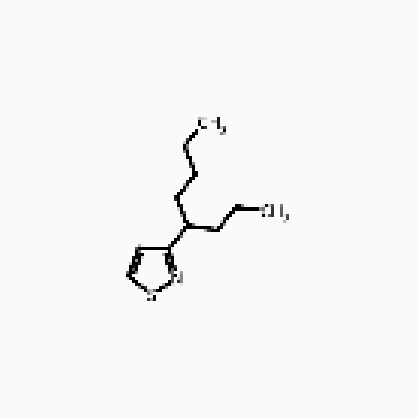 CCCCC(CCC)c1ccsn1